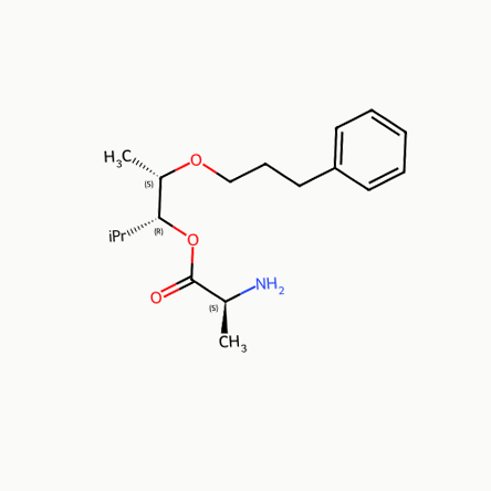 CC(C)[C@@H](OC(=O)[C@H](C)N)[C@H](C)OCCCc1ccccc1